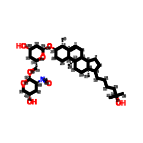 C[C@@H]1C2=CCC3C4CCC(CCCCC(C)(C)O)[C@@]4(C)CC[C@@]3(C)C2CC[C@@H]1O[C@H]1C[C@@H](O)C[C@@H](CO[C@H]2OC[C@@H](O)C[C@H]2N=O)O1